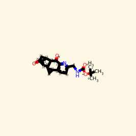 CC(C)(C)OC(=O)NCc1ccc(C2CC2)c(C(=O)C2CC3CC2CC3=O)n1